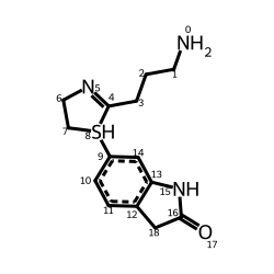 NCCCC1=NCC[SH]1c1ccc2c(c1)NC(=O)C2